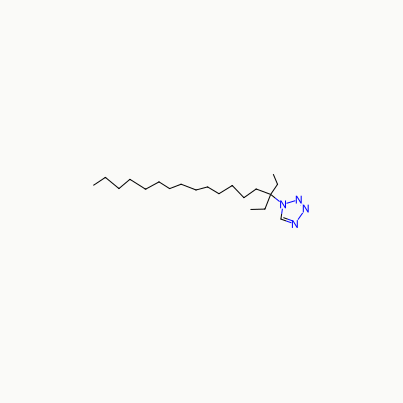 CCCCCCCCCCCCCCC(CC)(CC)n1cnnn1